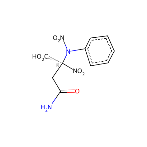 NC(=O)C[C@@](C(=O)O)(N(c1ccccc1)[N+](=O)[O-])[N+](=O)[O-]